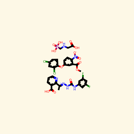 C/C(=N\NC(=O)Nc1cc(F)cc(F)c1)c1ncccc1C(=O)O.COC(=O)c1cc(Oc2ccc(Cl)cc2Cl)ccc1[N+](=O)[O-].O=C(O)CNCP(=O)(O)O